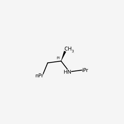 CCCC[C@@H](C)NC(C)C